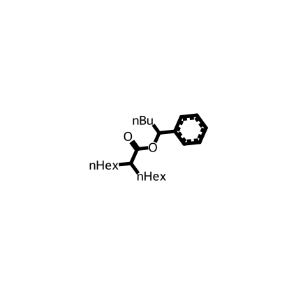 CCCCCCC(CCCCCC)C(=O)OC(CCCC)c1ccccc1